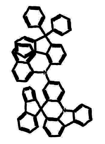 c1ccc(C2(c3ccccc3)c3ccccc3-c3c(N(c4ccc5c(c4)C4(c6ccccc6-c6ccccc64)c4cccc6c7ccccc7n-5c46)c4cccc5ccccc45)cccc32)cc1